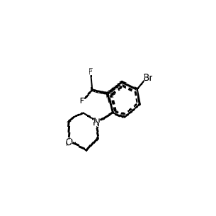 FC(F)c1cc(Br)ccc1N1CCOCC1